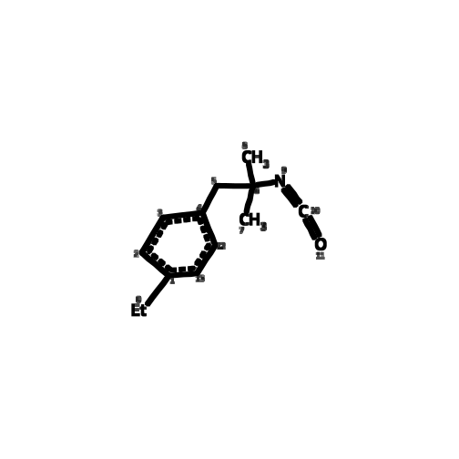 CCc1ccc(CC(C)(C)N=C=O)cc1